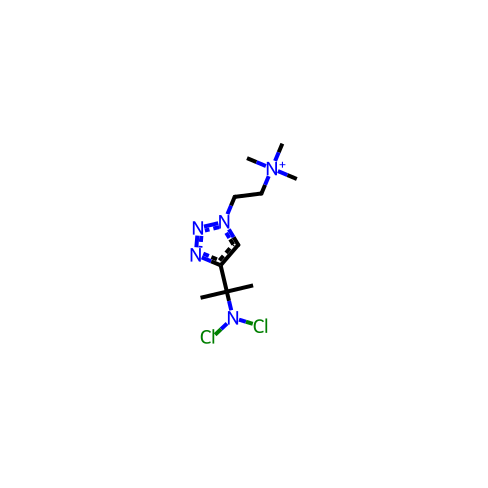 CC(C)(c1cn(CC[N+](C)(C)C)nn1)N(Cl)Cl